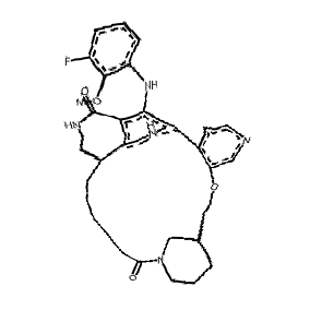 COc1c(F)cccc1Nc1c2[nH]c3c1C(=O)NCC3CCCCC(=O)N1CCCC(COc3cnccc3-2)C1